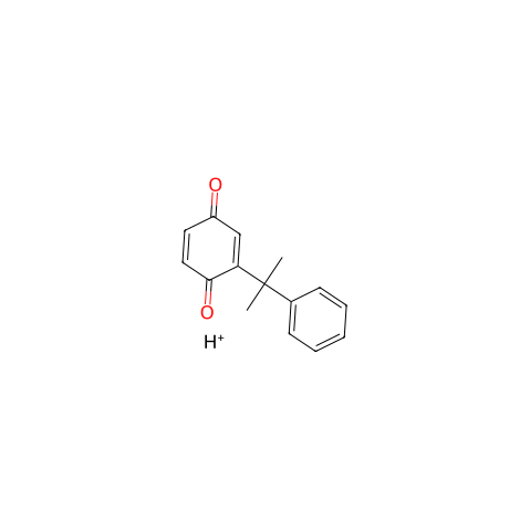 CC(C)(C1=CC(=O)C=CC1=O)c1ccccc1.[H+]